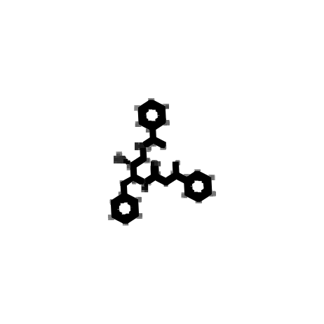 CC(CC(=O)N[C@@H](Cc1ccccc1)[C@H](O)CNC(C)c1ccccc1)c1ccccc1